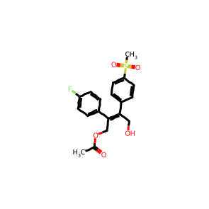 CC(=O)OC/C(=C(\CO)c1ccc(S(C)(=O)=O)cc1)c1ccc(F)cc1